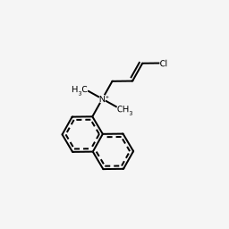 C[N+](C)(C/C=C/Cl)c1cccc2ccccc12